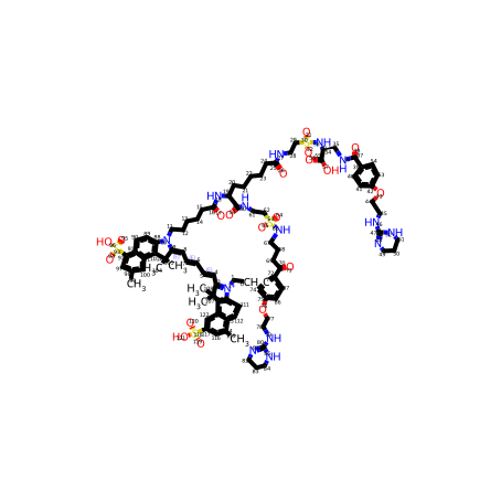 CC[N+]1=C(/C=C/C=C/C=C2/N(CCCCCC(=O)NC(CCCCCC(=O)NCCS(=O)(=O)N[C@@H](CNC(=O)c3ccc(OCCNC4=NCCCN4)cc3)C(=O)O)C(=O)NCCS(=O)(=O)NCCCC(=O)c3ccc(OCCNC4=NCCCN4)cc3)c3ccc4c(S(=O)(=O)O)cc(C)cc4c3C2(C)C)C(C)(C)c2c1ccc1c(C)cc(S(=O)(=O)O)cc21